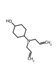 C=CCN(CC=C)C1CCC(O)CC1